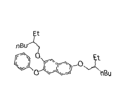 CCCCC(CC)COc1ccc2cc(Oc3ccccc3)c(OCC(CC)CCCC)cc2c1